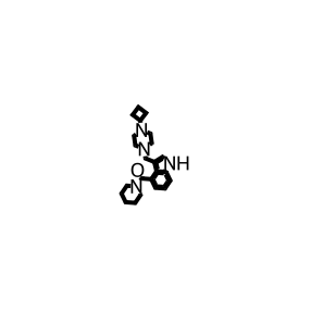 O=C(c1cccc2[nH]cc(CN3CCN(C4CCC4)CC3)c12)N1CCCCC1